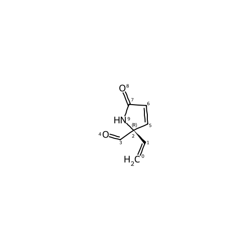 C=C[C@]1(C=O)C=CC(=O)N1